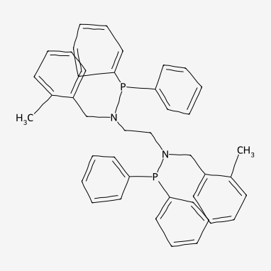 Cc1ccccc1CN(CCN(Cc1ccccc1C)P(c1ccccc1)c1ccccc1)P(c1ccccc1)c1ccccc1